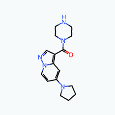 O=C(c1cnn2ccc(N3CCCC3)cc12)N1CCNCC1